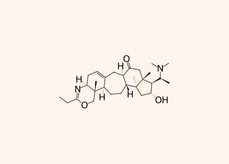 CCC1=N[C@H]2CC=C3C[C@H]4C(=O)C[C@]5(C)[C@@H]([C@H](C)N(C)C)[C@H](O)C[C@@]5(C)[C@@H]4CC[C@H]3[C@]2(C)CO1